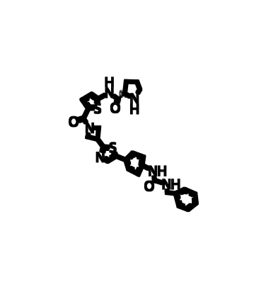 O=C(NCc1ccccc1)Nc1ccc(-c2cnc(C3CN(C(=O)c4ccc(NC(=O)[C@@H]5CCCN5)s4)C3)s2)cc1